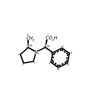 C[C@@H]1CCCN1[C@@H](C(=O)O)c1ccccc1